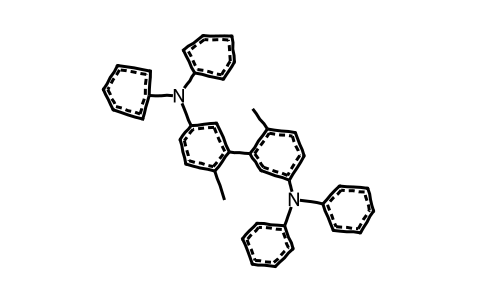 Cc1ccc(N(c2ccccc2)c2ccccc2)cc1-c1cc(N(c2ccccc2)c2ccccc2)ccc1C